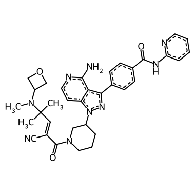 CN(C1COC1)C(C)(C)C=C(C#N)C(=O)N1CCCC(n2nc(-c3ccc(C(=O)Nc4ccccn4)cc3)c3c(N)nccc32)C1